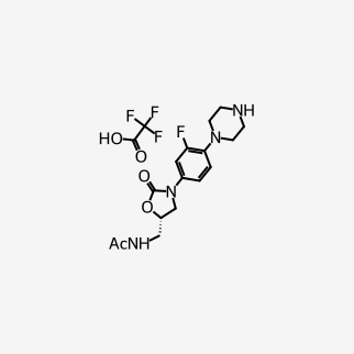 CC(=O)NC[C@H]1CN(c2ccc(N3CCNCC3)c(F)c2)C(=O)O1.O=C(O)C(F)(F)F